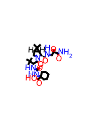 CC(C)(C)[C@H](NC(=O)NC1(C(=O)O)CCCCC1)C(=O)N1C[C@H]2[C@@H]([C@H]1C(=O)NCC(=O)C(N)=O)C2(C)C